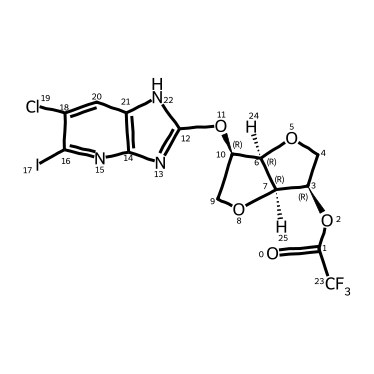 O=C(O[C@@H]1CO[C@H]2[C@@H]1OC[C@H]2Oc1nc2nc(I)c(Cl)cc2[nH]1)C(F)(F)F